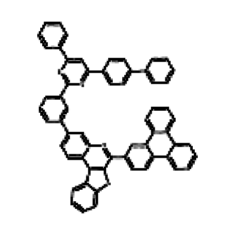 c1ccc(-c2ccc(-c3cc(-c4ccccc4)nc(-c4cccc(-c5ccc6c(c5)nc(-c5ccc7c8ccccc8c8ccccc8c7c5)c5sc7ccccc7c56)c4)n3)cc2)cc1